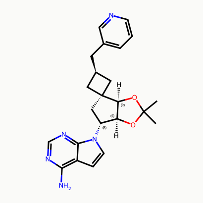 CC1(C)O[C@H]2[C@H](n3ccc4c(N)ncnc43)C[C@]3(C[C@H](Cc4cccnc4)C3)[C@H]2O1